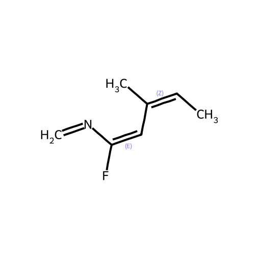 C=N/C(F)=C\C(C)=C/C